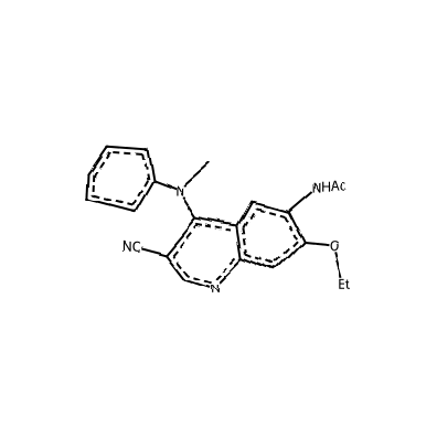 CCOc1cc2ncc(C#N)c(N(C)c3ccccc3)c2cc1NC(C)=O